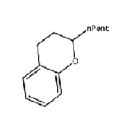 [CH2]CCCCC1CCc2ccccc2O1